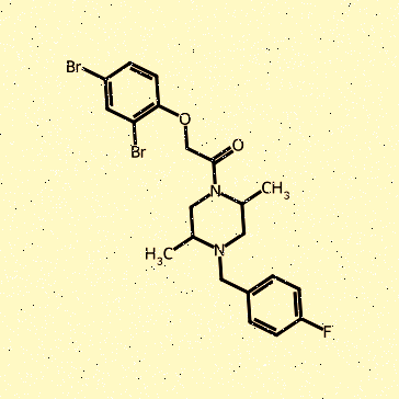 CC1CN(C(=O)COc2ccc(Br)cc2Br)C(C)CN1Cc1ccc(F)cc1